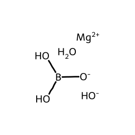 O.[Mg+2].[O-]B(O)O.[OH-]